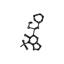 CCCOC(=Nc1ccccc1)c1cc2ccsc2n(S(C)(=O)=O)c1=O